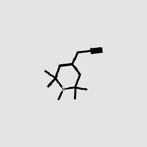 C#CCC1CC(C)(C)N(C)C(C)(C)C1